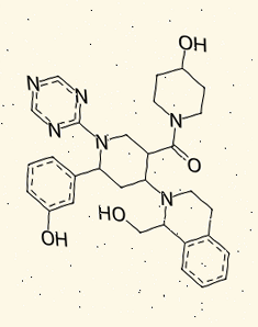 O=C(C1CN(c2ncncn2)C(c2cccc(O)c2)CC1N1CCc2ccccc2C1CO)N1CCC(O)CC1